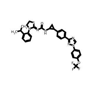 CC(C)c1ccccc1N1CCS/C1=N\C(=O)NC1CC1c1ccc(-c2ncn(-c3ccc(OC(F)(F)F)cc3)n2)cc1